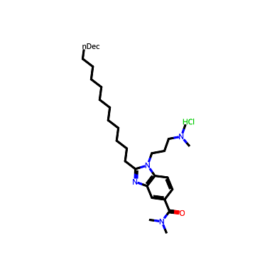 CCCCCCCCCCCCCCCCCCCCCc1nc2cc(C(=O)N(C)C)ccc2n1CCCN(C)C.Cl